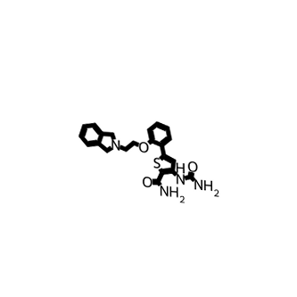 NC(=O)Nc1cc(-c2ccccc2OCCN2Cc3ccccc3C2)sc1C(N)=O